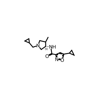 CC1CN(CC2CC2)C[C@H]1NC(=O)c1cc(C2CC2)on1